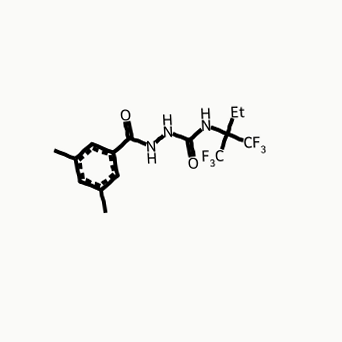 CCC(NC(=O)NNC(=O)c1cc(C)cc(C)c1)(C(F)(F)F)C(F)(F)F